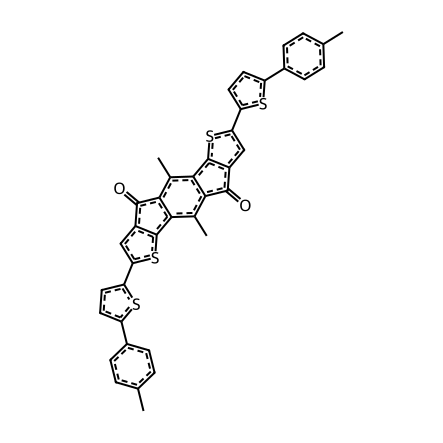 Cc1ccc(-c2ccc(-c3cc4c(=O)c5c(C)c6c(c(C)c5c4s3)c(=O)c3cc(-c4ccc(-c5ccc(C)cc5)s4)sc36)s2)cc1